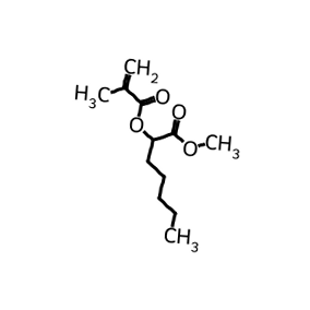 C=C(C)C(=O)OC(CCCCC)C(=O)OC